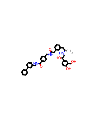 C[C@H](Cc1cccc(CC(=O)NCc2ccc(C(=O)NCc3cccc(-c4ccccc4)c3)cc2)c1)NC[C@H](O)c1ccc(O)c(CO)c1